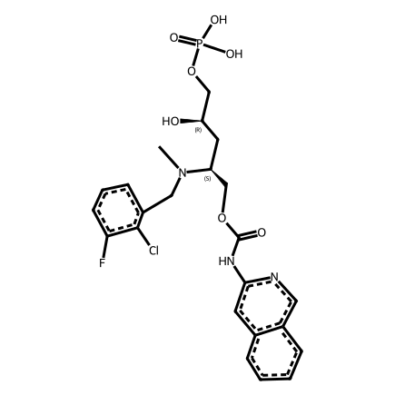 CN(Cc1cccc(F)c1Cl)[C@H](COC(=O)Nc1cc2ccccc2cn1)C[C@@H](O)COP(=O)(O)O